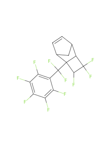 Fc1c(F)c(F)c(C(F)(F)C23C4C=CC(C4)C2C(F)(F)C3F)c(F)c1F